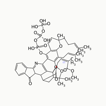 COC(=O)/C(C)=C\CC12OC(C)(C)C3CC(C1=O)C1C4=C(N=C5c6ccccc6C(=O)C51)c1c(OP(=O)(O)OP(=O)(O)OP(=O)(O)O)c5c(c(CC=C(C)C)c1OC432)OC(C)(CCC=C(C)C)C=C5